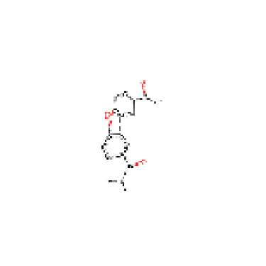 CC(C)C(=O)c1ccc2oc3ccc(C(=O)C(C)C)cc3c2c1